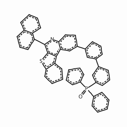 O=P(c1ccccc1)(c1ccccc1)c1cccc(-c2cccc(-c3ccc4nc(-c5cccc6ccccc56)c5sc6ccccc6c5c4c3)c2)c1